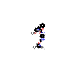 COc1ccc2cc(-c3ccccc3)c(C(=O)C(=O)Nc3ccc(NCCOc4cc(C)cc(C)n4)cc3)n2c1